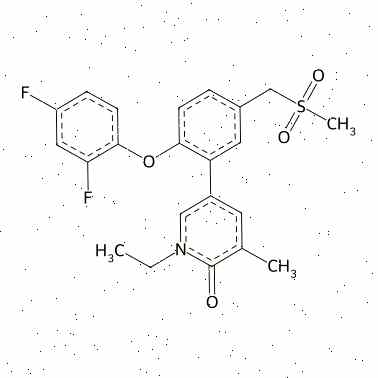 CCn1cc(-c2cc(CS(C)(=O)=O)ccc2Oc2ccc(F)cc2F)cc(C)c1=O